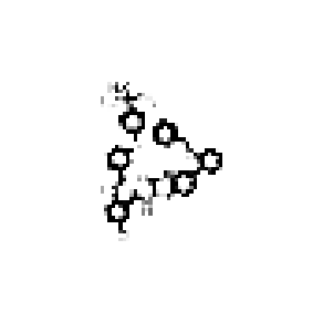 CC(C)(C)c1ccc(Oc2cccc(CNc3ccc(Cl)cc3C(=O)N[C@@H](Cc3ccc(-c4ccccc4OCc4ccccc4)cc3)C(=O)O)c2)cc1